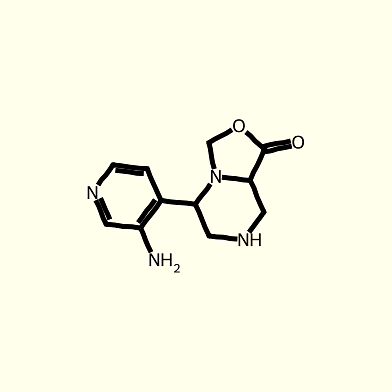 Nc1cnccc1C1CNCC2C(=O)OCN21